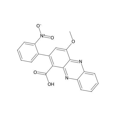 COc1cc(-c2ccccc2[N+](=O)[O-])c(C(=O)O)c2nc3ccccc3nc12